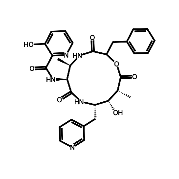 C[C@H]1NC(=O)C(Cc2ccccc2)OC(=O)[C@H](C)[C@H](O)[C@H](Cc2cccnc2)NC(=O)[C@H]1NC(=O)c1ncccc1O